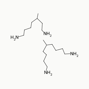 CC(CCCCN)CCCCN.CC(CCN)CCCCN